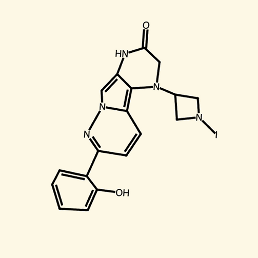 O=C1CN(C2CN(I)C2)c2c(cn3nc(-c4ccccc4O)ccc23)N1